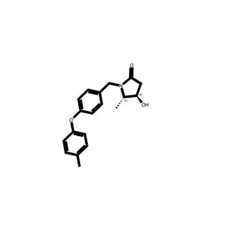 Cc1ccc(Oc2ccc(CN3C(=O)C[C@@H](O)[C@@H]3C)cc2)cc1